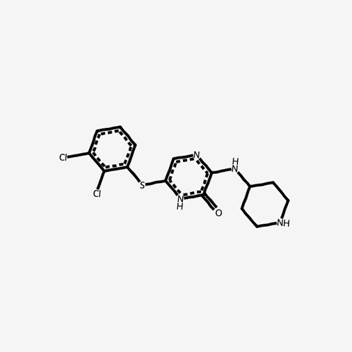 O=c1[nH]c(Sc2cccc(Cl)c2Cl)cnc1NC1CCNCC1